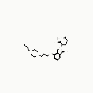 O=C1CCC(N2Cc3c(SCCCN4CCN(CCCI)CC4)cccc3C2=O)C(=O)N1